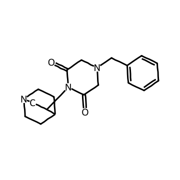 O=C1CN(Cc2ccccc2)CC(=O)N1C1CN2CCC1CC2